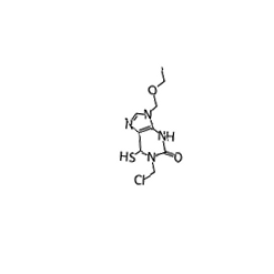 CCOCn1cnc2c1NC(=O)N(CCl)C2S